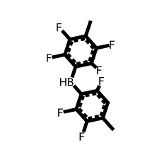 Cc1cc(F)c(Bc2c(F)c(F)c(C)c(F)c2F)c(F)c1F